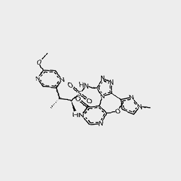 COc1cnc([C@@H](C)[C@H](C)S(=O)(=O)Nc2nnc(-c3ccn(C)n3)n2-c2c(OC)nc[nH]c2=O)cn1